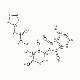 O=C(CN1CCCC1)OCCN1C(=O)CCC(N2C(=O)c3cccc(F)c3C2=O)C1=O